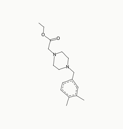 CCOC(=O)CN1CCN(Cc2ccc(C)c(C)c2)CC1